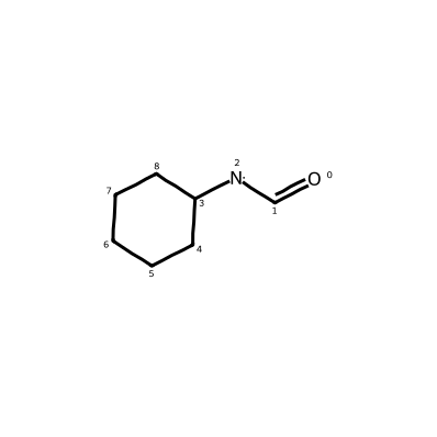 O=C[N]C1CCCCC1